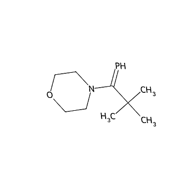 CC(C)(C)C(=P)N1CCOCC1